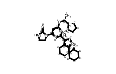 C[C@H](Oc1cc(N2CCNC2=O)nc(-c2noc3c2CCC[C@@]32CCCCC2=O)n1)[C@@H]1CCCN1C